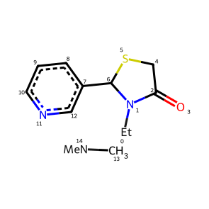 CCN1C(=O)CSC1c1cccnc1.CNC